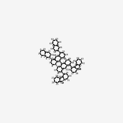 c1ccc2cc(-c3cccc4c(-c5c6cccc(-c7cccc8sc9ccccc9c78)c6cc6c(-c7cccc8sc9ccccc9c78)cccc56)c5cccc(-c6ccc7ccccc7c6)c5cc34)ccc2c1